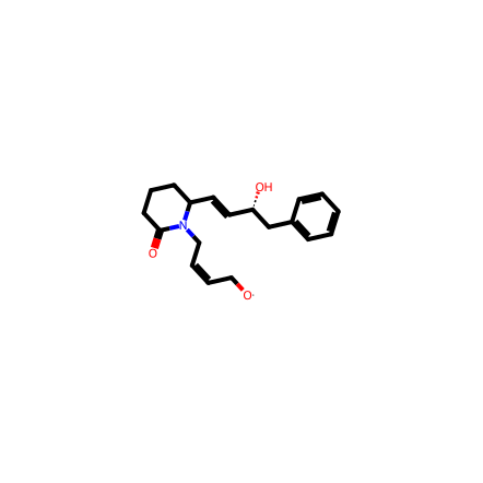 [O]C/C=C\CN1C(=O)CCCC1/C=C/[C@H](O)Cc1ccccc1